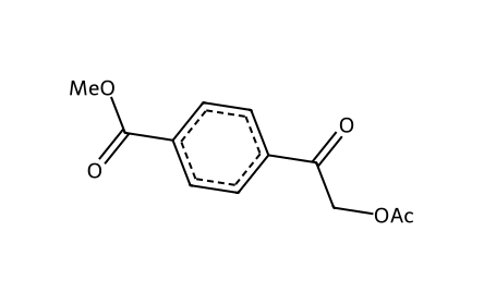 COC(=O)c1ccc(C(=O)COC(C)=O)cc1